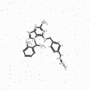 CC(c1ccccc1[N+](=O)[O-])n1cnc2nc(N)nc(OCc3ccc(CN=[N+]=[N-])cc3)c21